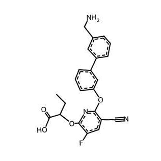 CCC(Oc1nc(Oc2cccc(-c3cccc(CN)c3)c2)c(C#N)cc1F)C(=O)O